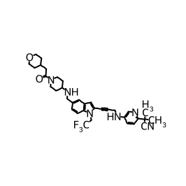 CC(C)(C#N)c1ccc(NCC#Cc2cc3cc(CNC4CCN(C(=O)CC5CCOCC5)CC4)ccc3n2CC(F)(F)F)cn1